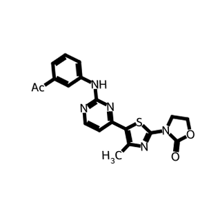 CC(=O)c1cccc(Nc2nccc(-c3sc(N4CCOC4=O)nc3C)n2)c1